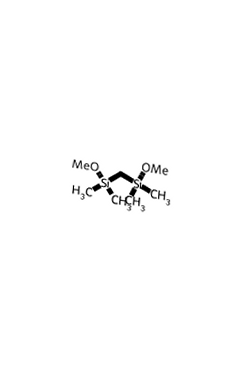 CO[Si](C)(C)C[Si](C)(C)OC